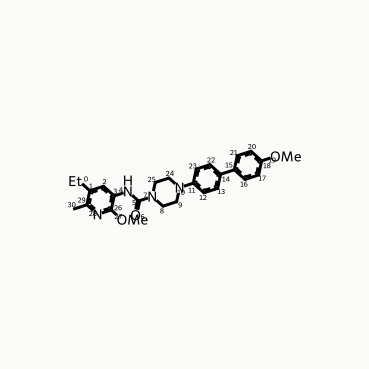 CCc1cc(NC(=O)N2CCN(c3ccc(-c4ccc(OC)cc4)cc3)CC2)c(OC)nc1C